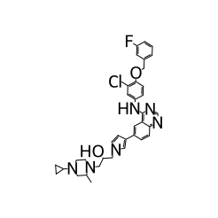 CC1CN(C2CC2)CCN1CC(O)Cn1ccc(-c2ccc3ncnc(Nc4ccc(OCc5cccc(F)c5)c(Cl)c4)c3c2)c1